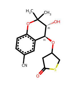 CC1(C)Oc2ccc(C#N)cc2[C@H](OC2CSC(=O)C2)[C@H]1O